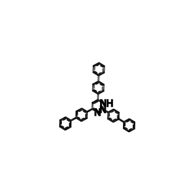 C1=C(c2ccc(-c3ccccc3)cc2)NN(c2ccc(-c3ccccc3)cc2)N=C1c1ccc(-c2ccccc2)cc1